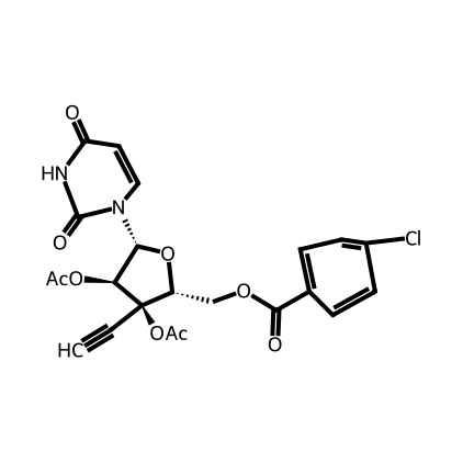 C#C[C@@]1(OC(C)=O)[C@@H](COC(=O)c2ccc(Cl)cc2)O[C@@H](n2ccc(=O)[nH]c2=O)[C@@H]1OC(C)=O